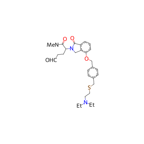 CCN(CC)CCSCc1ccc(COc2cccc3c2CN(C(CCC=O)C(=O)NC)C3=O)cc1